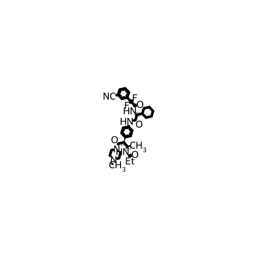 CCC(=O)N[C@H](C)[C@@H](C(=O)N1CCN(C)CC1)c1ccc(NC(=O)[C@@H](NC(=O)C(F)(F)c2cccc(C#N)c2)C2CCCCC2)cc1